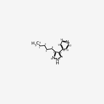 CCCCCc1n[nH]cc1-c1ccncc1